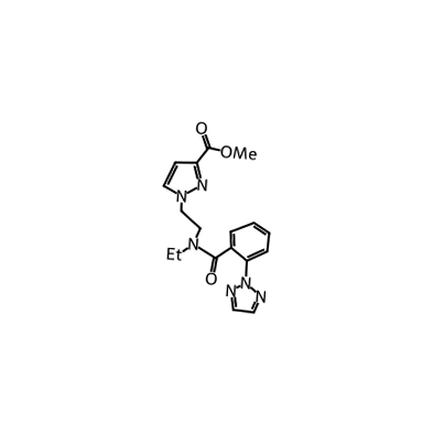 CCN(CCn1ccc(C(=O)OC)n1)C(=O)c1ccccc1-n1nccn1